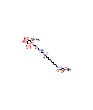 CC(=O)NC1C(OCCOCCNC(=O)CNC(=O)CCCCCCCCCNC(=O)[C@H]2C[C@@H](OC(C)C)CO2)O[C@H](CO)C(O)C1O